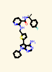 C[C@H](NC(=O)c1cccnc1NCc1ccc(-c2cn(-c3ccccc3)c3ncnc(N)c23)s1)c1ccc(F)cc1